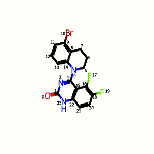 O=c1nc(N2CCCc3c(Br)cccc32)c2c(F)c(F)ccc2[nH]1